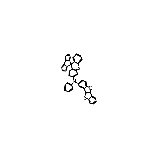 c1ccc(N(c2ccc3c(c2)Sc2ccccc2C32c3ccccc3-c3ccccc32)c2ccc3oc4c5ccccc5sc4c3c2)cc1